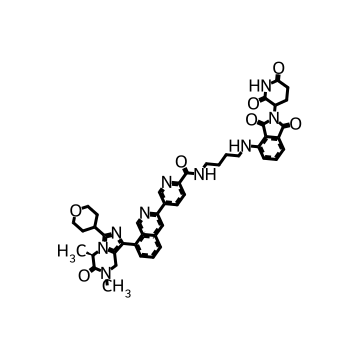 C[C@@H]1C(=O)N(C)Cc2c(-c3cccc4cc(-c5ccc(C(=O)NCCCCNc6cccc7c6C(=O)N(C6CCC(=O)NC6=O)C7=O)nc5)ncc34)nc(C3CCOCC3)n21